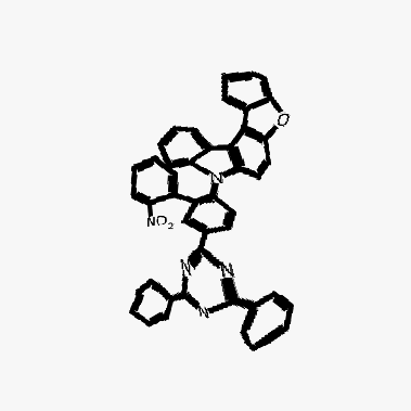 O=[N+]([O-])c1ccccc1-c1cc(-c2nc(-c3ccccc3)nc(-c3ccccc3)n2)ccc1-n1c2ccccc2c2c3c(ccc21)oc1ccccc13